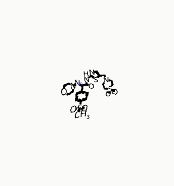 CS(=O)(=O)c1ccc(/C(=N\N2CCOCC2)C(=O)Nc2ncc(CN3CCS(=O)(=O)CC3)s2)cc1